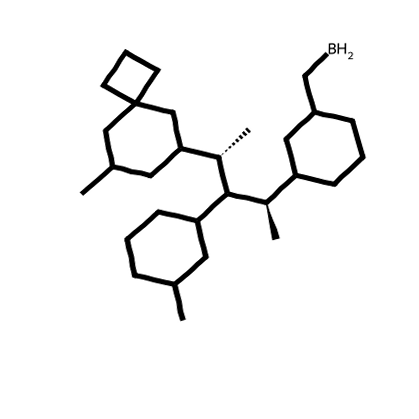 BCC1CCCC([C@@H](C)C(C2CCCC(C)C2)[C@@H](C)C2CC(C)CC3(CCC3)C2)C1